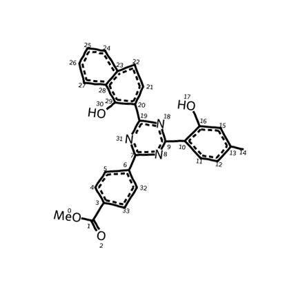 COC(=O)c1ccc(-c2nc(-c3ccc(C)cc3O)nc(-c3ccc4ccccc4c3O)n2)cc1